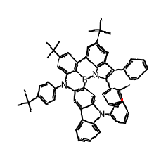 Cc1ccccc1-c1c(-c2ccccc2)c2cc(C(C)(C)C)cc3c2n1B1c2cc4c(cc2N(c2ccc(C(C)(C)C)cc2)c2cc(C(C)(C)C)cc-3c21)c1ccccc1n4-c1ccccc1